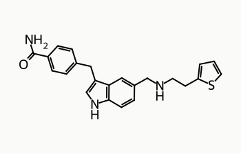 NC(=O)c1ccc(Cc2c[nH]c3ccc(CNCCc4cccs4)cc23)cc1